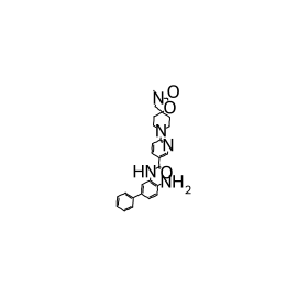 CN1CC2(CCN(c3ccc(C(=O)Nc4cc(-c5ccccc5)ccc4N)cn3)CC2)OC1=O